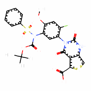 COc1cc(F)c(-n2c(=O)[nH]c3csc(C(=O)O)c3c2=O)cc1N(C(=O)OC(C)(C)C)S(=O)(=O)c1ccccc1